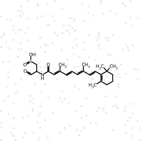 CC1=C(/C=C/C(C)=C/C=C/C(C)=C/C(=O)NC(C=O)CS(=O)O)C(C)(C)CCC1